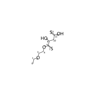 CCOCCOC(=S)C(O)CC(O)=S